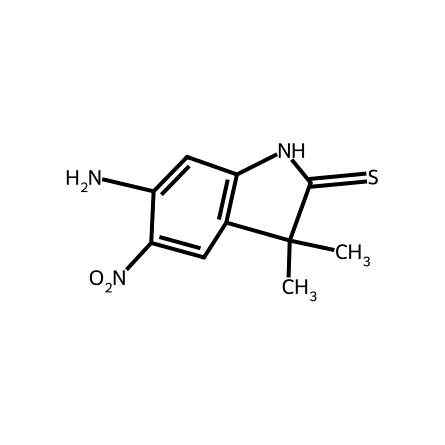 CC1(C)C(=S)Nc2cc(N)c([N+](=O)[O-])cc21